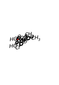 COc1ccc(S(=O)(=O)N2C(=O)C(c3ccoc3)(N3C[C@H](O)C[C@H]3C(=O)O)c3cc(Cl)ccc32)c(OC)c1